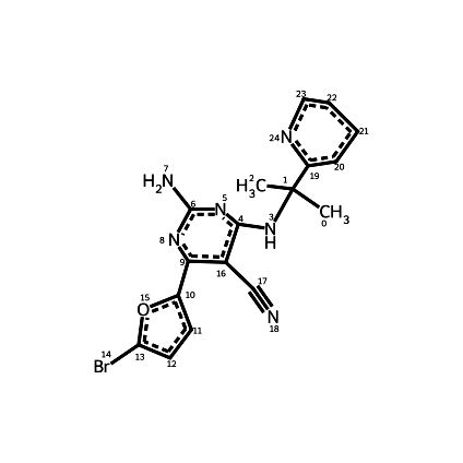 CC(C)(Nc1nc(N)nc(-c2ccc(Br)o2)c1C#N)c1ccccn1